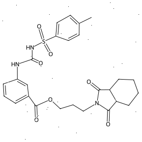 Cc1ccc(S(=O)(=O)NC(=O)Nc2cccc(C(=O)OCCCN3C(=O)C4CCCCC4C3=O)c2)cc1